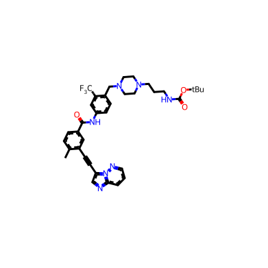 Cc1ccc(C(=O)Nc2ccc(CN3CCN(CCCNC(=O)OC(C)(C)C)CC3)c(C(F)(F)F)c2)cc1C#Cc1cnc2cccnn12